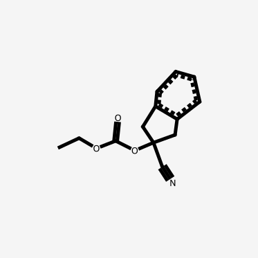 CCOC(=O)OC1(C#N)Cc2ccccc2C1